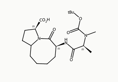 C[C@@H](C(=O)N[C@H]1CCCCC2CC[C@@H](C(=O)O)N2C1=O)N(C)C(=O)OC(C)(C)C